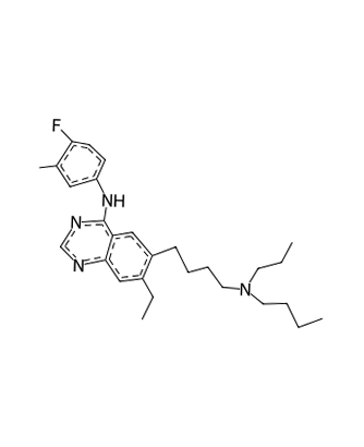 CCCCN(CCC)CCCCc1cc2c(Nc3ccc(F)c(C)c3)ncnc2cc1CC